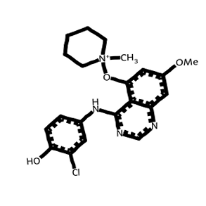 COc1cc(O[N+]2(C)CCCCC2)c2c(Nc3ccc(O)c(Cl)c3)ncnc2c1